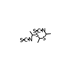 CC(N=C=S)SC(C)SC(C)N=C=S